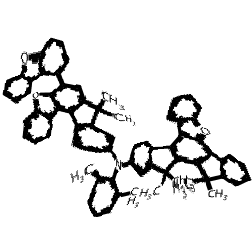 Cc1cccc(C)c1N(c1ccc2c(c1)C(C)(C)c1cc(-c3cccc4oc5ccccc5c34)c3oc4ccccc4c3c1-2)c1ccc2c(c1)C(C)(C)c1c3c(c4oc5ccccc5c4c1-2)-c1ccccc1C3(C)C